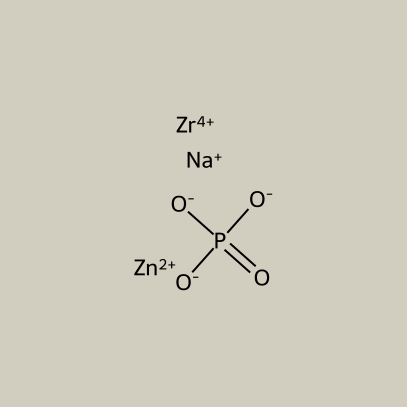 O=P([O-])([O-])[O-].[Na+].[Zn+2].[Zr+4]